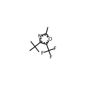 Cc1nc(C(C)(C)C)c(C(F)(F)F)o1